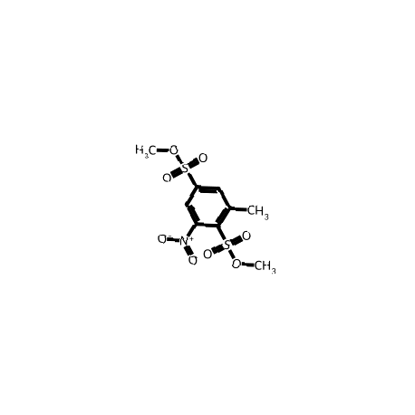 COS(=O)(=O)c1cc(C)c(S(=O)(=O)OC)c([N+](=O)[O-])c1